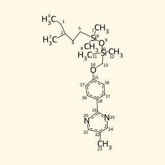 CCC(C)CC[Si](C)(C)O[Si](C)(C)COc1ccc(-c2ncc(C)cn2)cc1